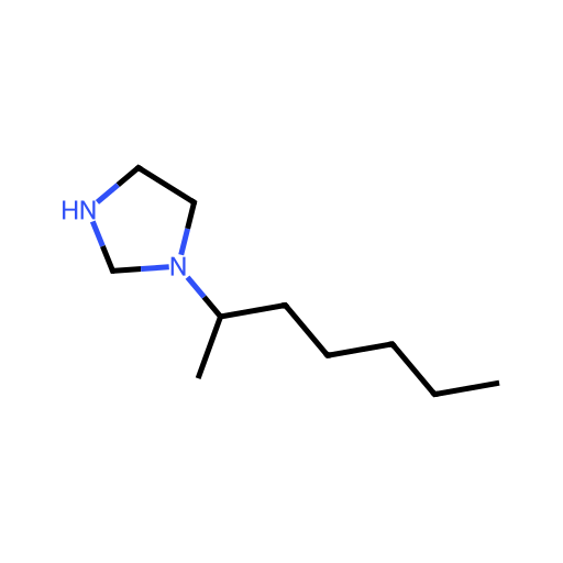 CCCCCC(C)N1CCNC1